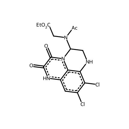 CCOC(=O)CN(C(C)=O)C1CNc2c(Cl)c(Cl)cc3[nH]c(=O)c(=O)n1c23